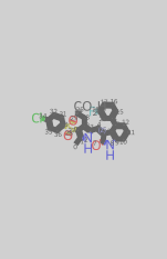 Cc1[nH]c(/C=C2\C(=O)Nc3cccc(-c4cccc(F)c4)c32)c(CCC(=O)O)c1S(=O)(=O)c1ccc(Cl)cc1